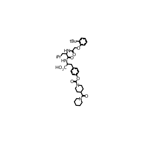 CC(C)CC(NC(=O)COc1ccccc1C(C)(C)C)C(=O)NC(Cc1ccc(OC(=O)N2CCC(C(=O)N3CCCCC3)CC2)cc1)C(=O)O